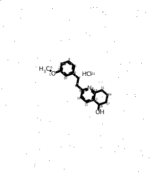 COc1cccc(CCc2ccc3c(n2)CCCC3O)c1.Cl